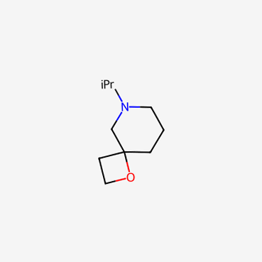 CC(C)N1CCCC2(CCO2)C1